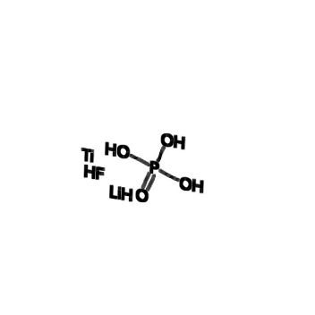 F.O=P(O)(O)O.[LiH].[Ti]